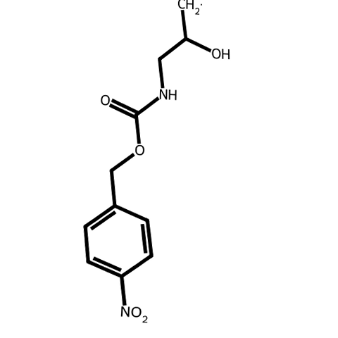 [CH2]C(O)CNC(=O)OCc1ccc([N+](=O)[O-])cc1